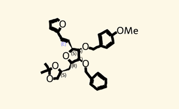 COc1ccc(CO[C@@H]2[C@@H](OCc3ccccc3)[C@@H](C[C@H]3COC(C)(C)O3)O[C@H]2/C=C/c2ccco2)cc1